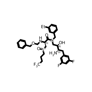 CCc1cccc(CN(C[C@@H](O)[C@@H](N)Cc2cc(F)cc(F)c2)C(=O)[C@@H](C[S+]([O-])CCCC(F)(F)F)NCOCc2ccccc2)c1